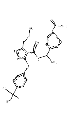 CCCc1nnn(Cc2ccc(C(F)(F)F)cc2)c1C(=O)NC(C)c1ccc(C(=O)O)cc1